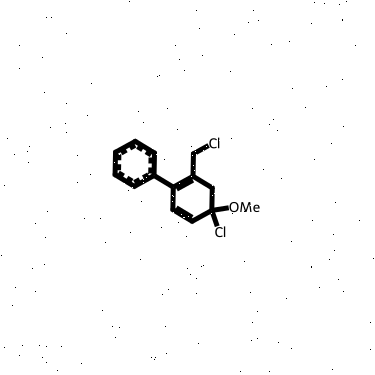 COC1(Cl)C=CC(c2ccccc2)=C(CCl)C1